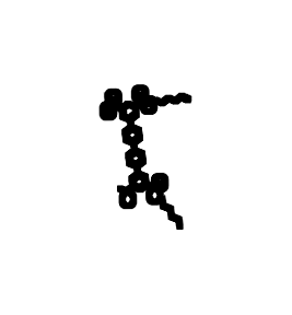 C=CCCCCOC(=O)C1C=C(c2ccc(-c3ccc(-c4cc(C(C)=O)cc(C(=O)OCCCCCC)c4)cc3)cc2)C=C(C(=O)OC)C1